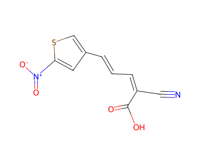 N#CC(=CC=Cc1csc([N+](=O)[O-])c1)C(=O)O